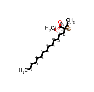 CCCCCCCCCCCCCCC1(C(=O)OC)SC1C